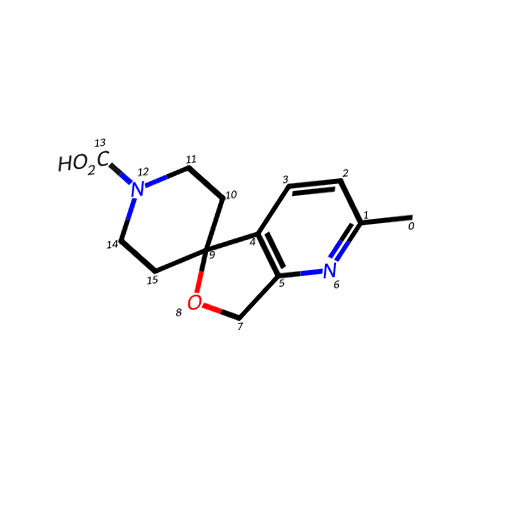 Cc1ccc2c(n1)COC21CCN(C(=O)O)CC1